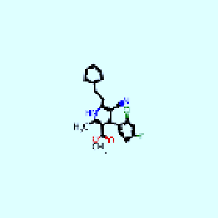 COC(=O)C1=C(C)NC(CCc2ccccc2)=C(C#N)C1c1ccc(F)cc1Cl